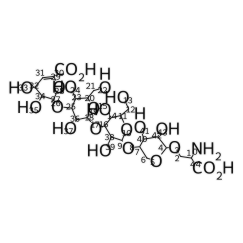 NC(COC1OCC(OC2OC(CO)C(O)C(OC3OC(CO)C(O)C(OC4OC(C(=O)O)=CC(O)C4O)C3O)C2O)C(O)C1O)C(=O)O